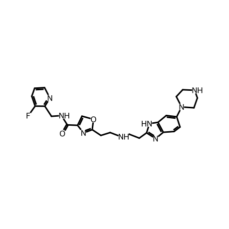 O=C(NCc1ncccc1F)c1coc(CCNCCc2nc3ccc(N4CCNCC4)cc3[nH]2)n1